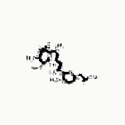 COC(=O)C[C@H]1CC[C@H](C)[C@@H](/C(C)=C/C=C/[C@@H](C)CC2(C)O[C@@H]2[C@H](C)[C@@H](OC)[C@@H](C)O)O1